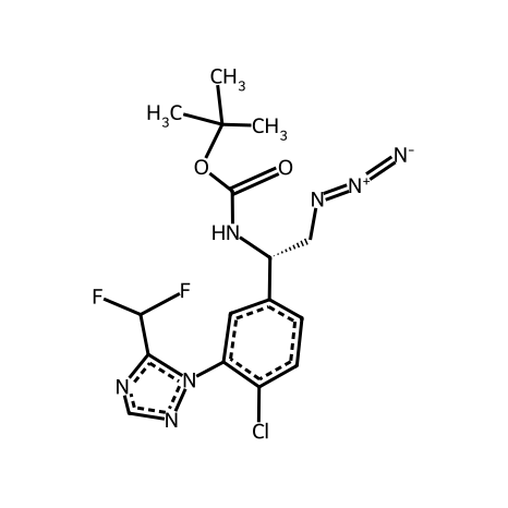 CC(C)(C)OC(=O)N[C@H](CN=[N+]=[N-])c1ccc(Cl)c(-n2ncnc2C(F)F)c1